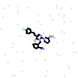 N#Cc1ccccc1Cn1c(N2CCCC(N)C2)ncc(/C=C/c2ccc(F)cc2)c1=O